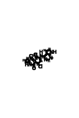 CN1n2c(c(Cl)cc(Nc3ncnc4[nH]ccc34)c2=O)C(=O)NC12CCC2